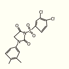 Cc1ccc(N2CC(=O)N(S(=O)(=O)c3ccc(Cl)c(Cl)c3)C2=O)cc1C